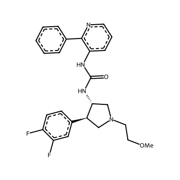 COCCN1C[C@@H](NC(=O)Nc2cccnc2-c2ccccc2)[C@H](c2ccc(F)c(F)c2)C1